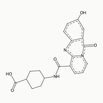 O=C(NC1CCC(C(=O)O)CC1)c1cccn2c(=O)c3cc(O)ccc3nc12